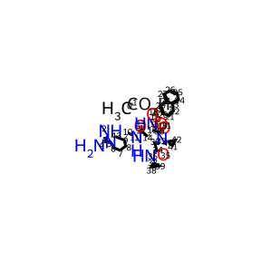 CC(=O)O.N=C(N)N1CCC[C@@H](CNC(=O)C[C@H](NS(=O)(=O)c2ccc3ccccc3c2)C(=O)N(CC(=O)NC2CC2)C2CC2)C1